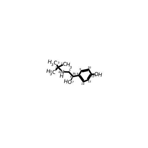 CC(C)(C)NC[C@H](O)c1ccc(O)cc1